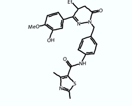 CCC1CC(=O)N(Cc2ccc(NC(=O)c3sc(C)nc3C)cc2)N=C1c1ccc(OC)c(O)c1